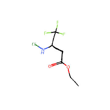 CCOC(=O)CC(NCl)C(F)(F)F